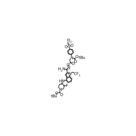 CC(C)(C)OC(=O)N1CC[C@@H](Nc2cccc3c2cc(/C(N)=N/OC(=O)CN(C(=O)OC(C)(C)C)c2ccc(S(C)(=O)=O)cc2)n3CC(F)(F)F)[C@@H](F)C1